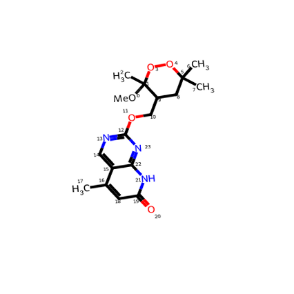 COC1(C)OOC(C)(C)CC1COc1ncc2c(C)cc(=O)[nH]c2n1